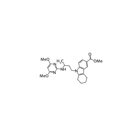 COC(=O)c1ccc2c(c1)c1c(n2CCC(C)Nc2nc(OC)cc(OC)n2)CCCC1